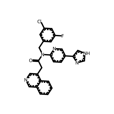 O=C(Cc1cncc2ccccc12)N(Cc1cc(F)cc(Cl)c1)c1ccc(-c2c[nH]cn2)cn1